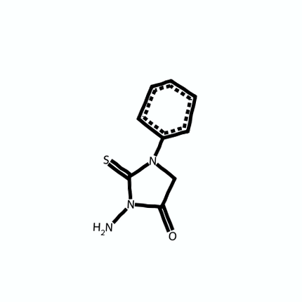 NN1C(=O)CN(c2ccccc2)C1=S